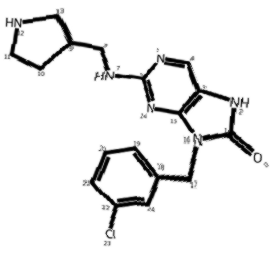 O=c1[nH]c2cnc(NCC3CCNC3)nc2n1Cc1cccc(Cl)c1